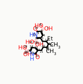 CCC(Cc1cc(B(O)O)c(=O)[nH]c1B(O)O)C(C)C(C)CCc1ccc(B(O)O)[nH]c1=O